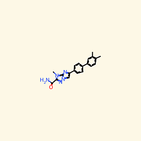 Cc1ccc(-c2ccc(-c3cn4nc(C(N)=O)n(C)c4n3)cc2)cc1C